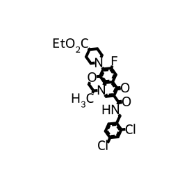 CCOC(=O)C1CCN(c2c(F)cc3c(=O)c(C(=O)NCc4ccc(Cl)cc4Cl)cn4c3c2OCC4C)CC1